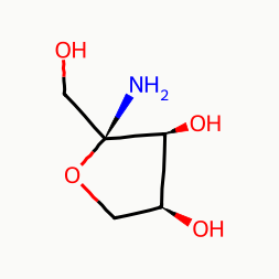 N[C@]1(CO)OC[C@H](O)[C@@H]1O